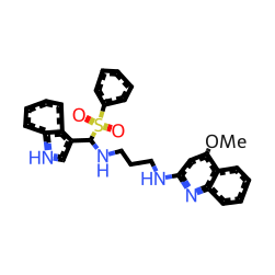 COc1cc(NCCCNC(c2c[nH]c3ccccc23)S(=O)(=O)c2ccccc2)nc2ccccc12